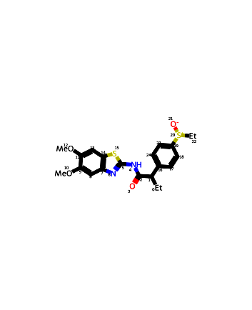 CCC(C(=O)Nc1nc2cc(OC)c(OC)cc2s1)c1ccc([S+]([O-])CC)cc1